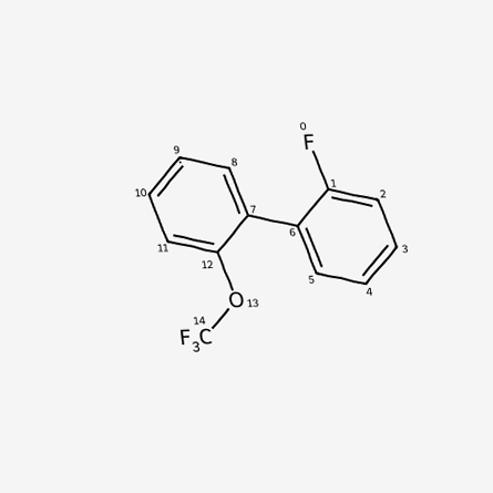 Fc1ccccc1-c1c[c]ccc1OC(F)(F)F